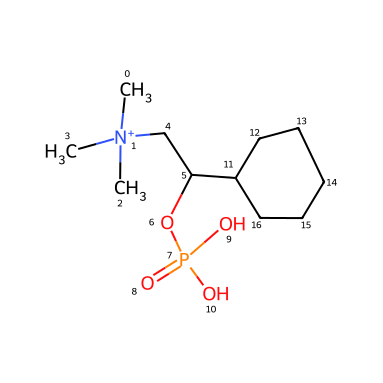 C[N+](C)(C)CC(OP(=O)(O)O)C1CCCCC1